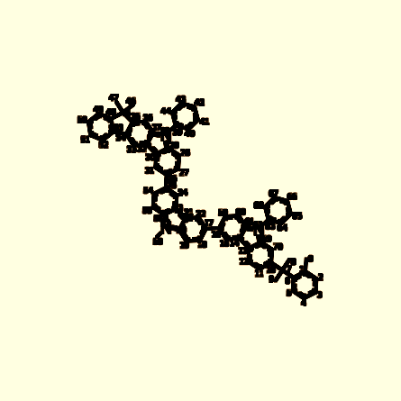 Cc1ccccc1C(C)(C)c1ccc2c3cc(-c4ccc5c(c4)c4cc(-c6ccc7c(c6)c6cc8c(cc6n7-c6ccccc6)C(C)(C)c6ccccc6-8)ccc4n5C)ccc3n(-c3ccccc3)c2c1